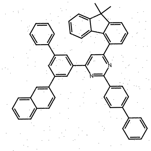 CC1(C)c2ccccc2-c2c(-c3cc(-c4cc(-c5ccccc5)cc(-c5ccc6ccccc6c5)c4)nc(-c4ccc(-c5ccccc5)cc4)n3)cccc21